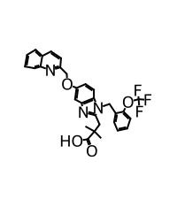 CC(C)(Cc1nc2cc(OCc3ccc4ccccc4n3)ccc2n1Cc1ccccc1OC(F)(F)F)C(=O)O